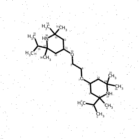 CC(C)C1(C)CC(OCCOC2CC(C)(C)NC(C)(C(C)C)C2)CC(C)(C)N1